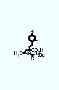 C=CCC(CCc1ccc(Br)cc1Cl)(NC(=O)OC(C)(C)C)C(=O)O